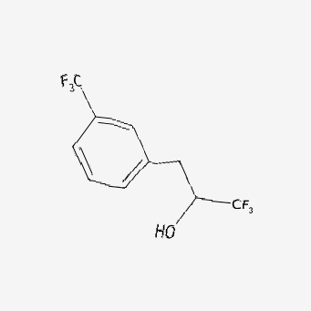 OC(Cc1cccc(C(F)(F)F)c1)C(F)(F)F